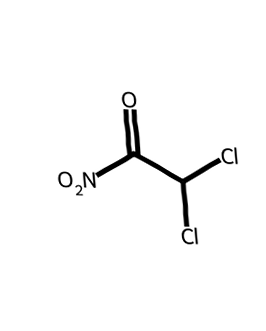 O=C(C(Cl)Cl)[N+](=O)[O-]